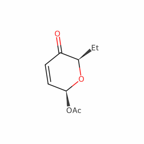 CC[C@H]1O[C@@H](OC(C)=O)C=CC1=O